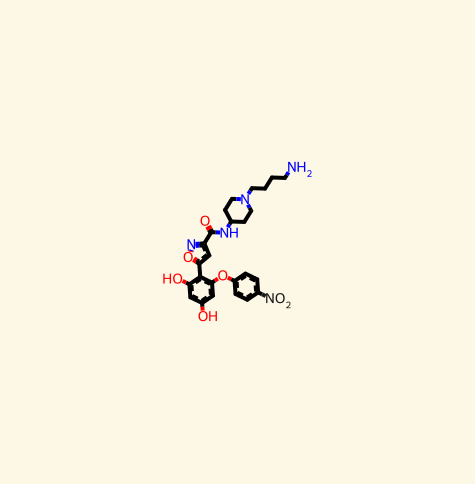 NCCCCN1CCC(NC(=O)c2cc(-c3c(O)cc(O)cc3Oc3ccc([N+](=O)[O-])cc3)on2)CC1